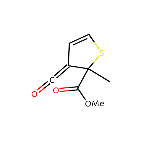 COC(=O)C1(C)SC=CC1=C=O